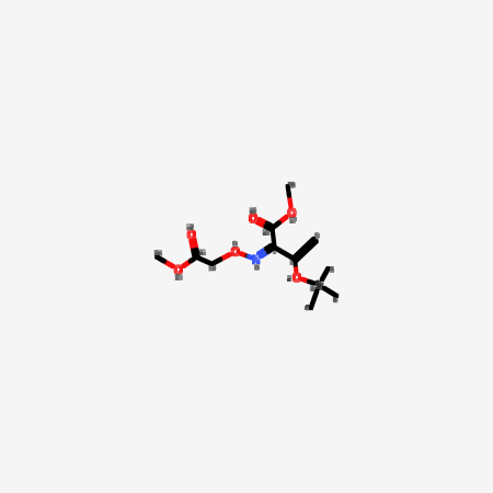 C=C(O[Si](C)(C)C)/C(=N/OCC(=O)OC)C(=O)OC